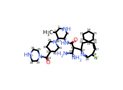 CC1CNCC(NC(=O)C(C(N)N)C2CC3(/C=C\C(F)/C=N\2)CCCCC3)C1N1CCC(C(=O)N2CCNCC2)CC1